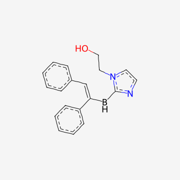 OCCn1ccnc1BC(=Cc1ccccc1)c1ccccc1